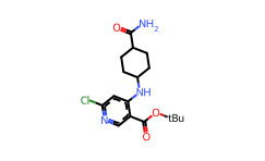 CC(C)(C)OC(=O)c1cnc(Cl)cc1NC1CCC(C(N)=O)CC1